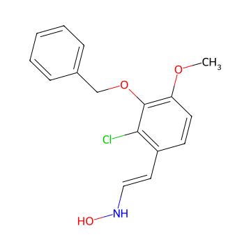 COc1ccc(/C=C/NO)c(Cl)c1OCc1ccccc1